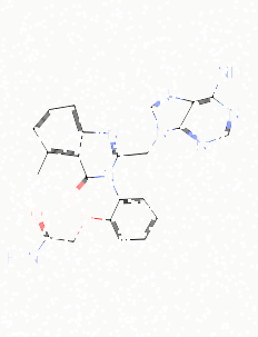 Cc1cccc2nc(Cn3cnc4c(N)ncnc43)n(-c3ccccc3OCC(N)=O)c(=O)c12